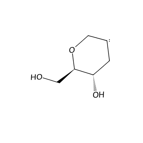 OC[C@H]1OC[C]C[C@@H]1O